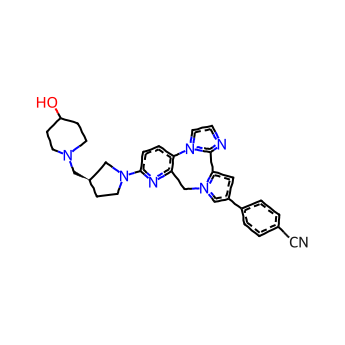 N#Cc1ccc(-c2cc3n(c2)Cc2nc(N4CC[C@@H](CN5CCC(O)CC5)C4)ccc2-n2ccnc2-3)cc1